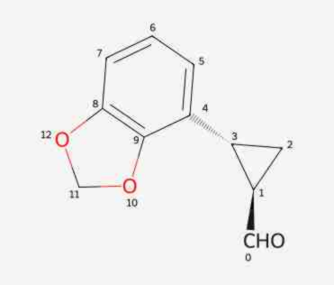 O=C[C@@H]1C[C@H]1c1cccc2c1OCO2